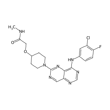 CNC(=O)COC1CCN(c2ncc3ncnc(Nc4ccc(F)c(Cl)c4)c3n2)CC1